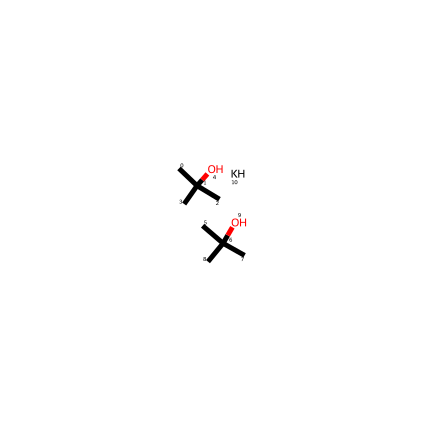 CC(C)(C)O.CC(C)(C)O.[KH]